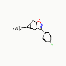 CCOC(=O)C1C2CC3ON=C(c4ccc(Cl)cc4)C3CC21